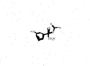 CCCC(=O)OC(CC)(C(=O)O)c1cccc([N+](=O)[O-])c1